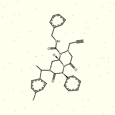 C#CCN1CC(=O)N2[C@@H](c3ccccc3)C(=O)N(C(C)c3ccc(F)cc3)C[C@@H]2N1C(=O)NCc1ccccc1